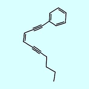 CCCCC#C/C=C\C#Cc1ccccc1